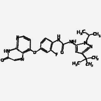 CC(C)n1nc(C(C)(C)C)cc1NC(=O)Nc1ccc(Oc2ccnc3[nH]c(=O)cnc23)cc1F